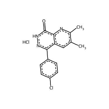 Cc1cc2c(-c3ccc(Cl)cc3)n[nH]c(=O)c2nc1C.Cl